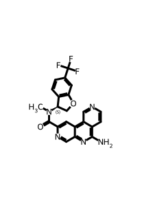 CN(C(=O)c1cc2c(cn1)nc(N)c1ccncc12)[C@@H]1COc2cc(C(F)(F)F)ccc21